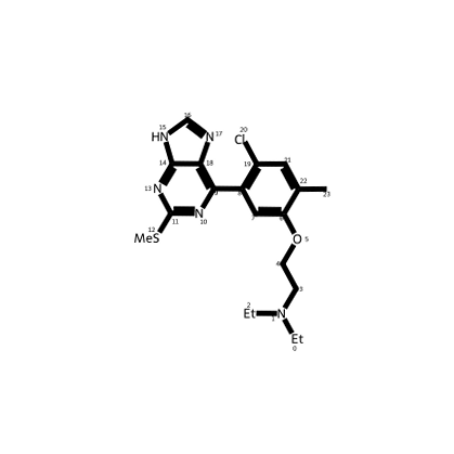 CCN(CC)CCOc1cc(-c2nc(SC)nc3[nH]cnc23)c(Cl)cc1C